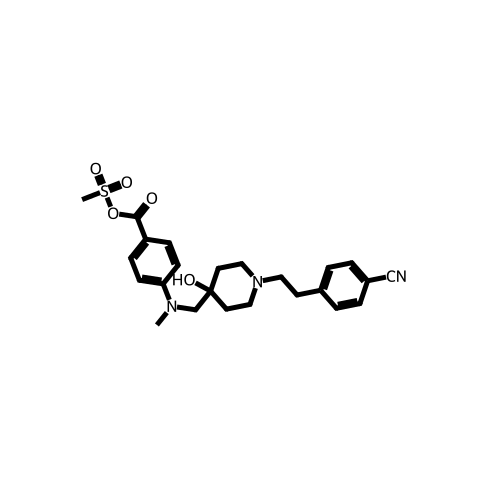 CN(CC1(O)CCN(CCc2ccc(C#N)cc2)CC1)c1ccc(C(=O)OS(C)(=O)=O)cc1